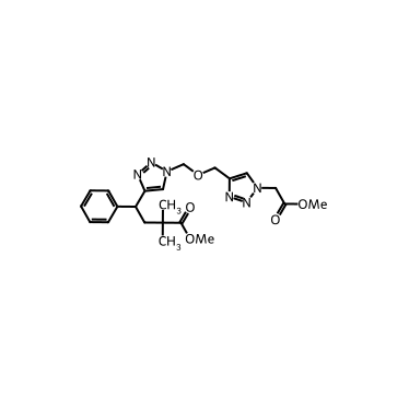 COC(=O)Cn1cc(COCn2cc(C(CC(C)(C)C(=O)OC)c3ccccc3)nn2)nn1